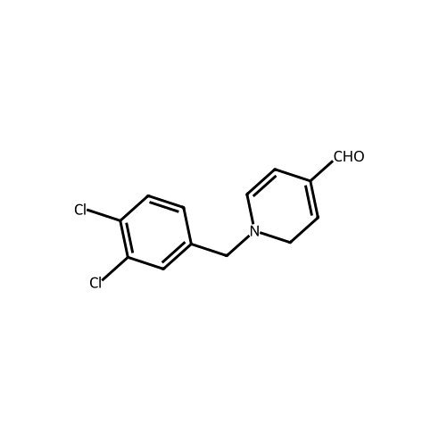 O=CC1=CCN(Cc2ccc(Cl)c(Cl)c2)C=C1